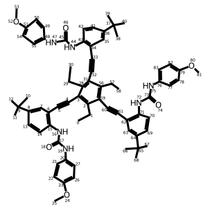 CCc1c(C#Cc2cc(C(C)(C)C)ccc2NC(=O)Nc2ccc(OC)cc2)c(CC)c(C#Cc2cc(C(C)(C)C)ccc2NC(=O)Nc2ccc(OC)cc2)c(CC)c1C#Cc1cc(C(C)(C)C)ccc1NC(=O)Nc1ccc(OC)cc1